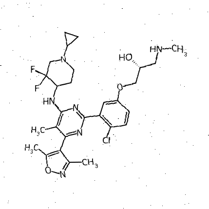 CNC[C@@H](O)COc1ccc(Cl)c(-c2nc(NC3CCN(C4CC4)CC3(F)F)c(C)c(-c3c(C)noc3C)n2)c1